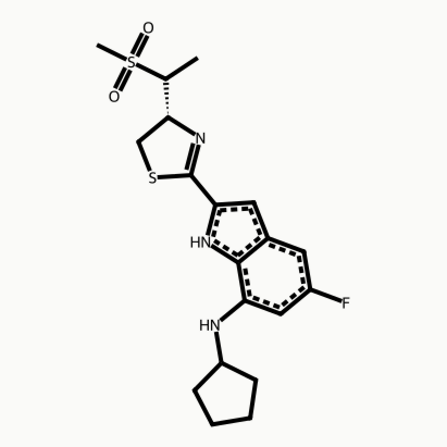 CC([C@H]1CSC(c2cc3cc(F)cc(NC4CCCC4)c3[nH]2)=N1)S(C)(=O)=O